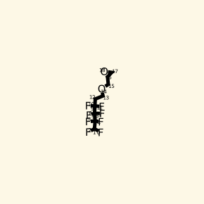 FC(F)C(F)(F)C(F)(F)C(F)(F)CCOCC1CO1